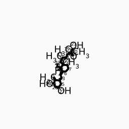 C=C1/C(=C\C=C2/CCC[C@]3(C)[C@@H]([C@H](C)CCC(=O)C(C)(C)O)CC[C@@H]23)C[C@H](O)C[C@H]1O